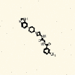 O=C(CNC(=O)c1cccc(C(F)(F)F)c1)NC1CN([C@H]2CC[C@@H](c3ccc4nc[nH]c4c3)CC2)C1